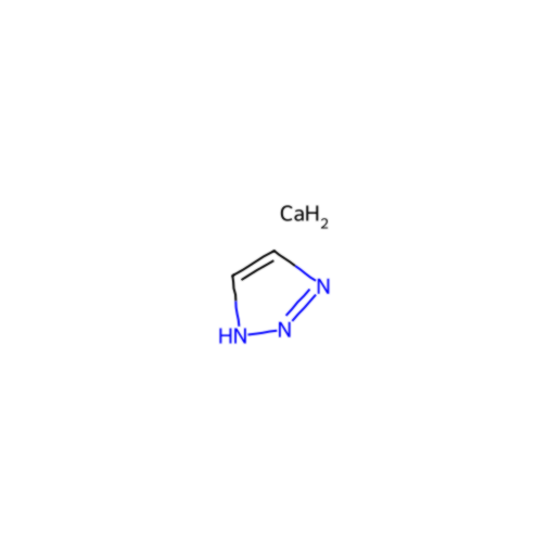 [CaH2].c1c[nH]nn1